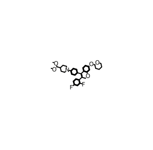 COC(OC)C1CCN(c2ccc(C3=C(c4ccc(F)cc4F)COc4cc(OC5CCCCO5)ccc43)cc2)CC1